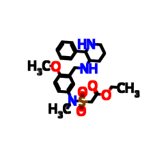 CCOC(=O)CS(=O)(=O)N(C)c1ccc(OC)c(CNC2CCCNC2c2ccccc2)c1